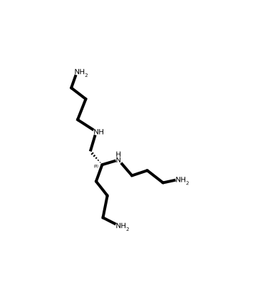 NCCCNC[C@@H](CCCN)NCCCN